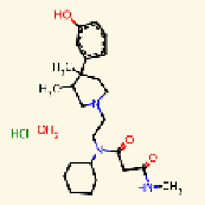 CNC(=O)CC(=O)N(CCN1CCC(C)(c2cccc(O)c2)C(C)C1)C1CCCCC1.Cl.O